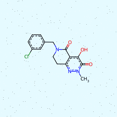 Cn1nc2c(c(O)c1=O)C(=O)N(Cc1cccc(Cl)c1)CC2